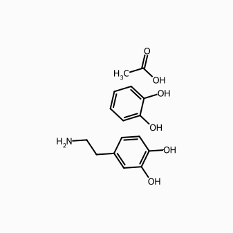 CC(=O)O.NCCc1ccc(O)c(O)c1.Oc1ccccc1O